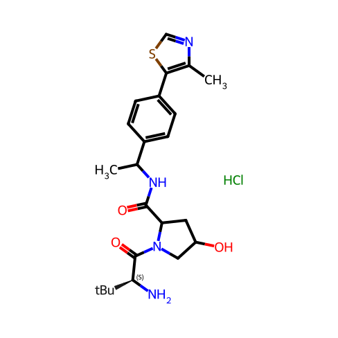 Cc1ncsc1-c1ccc(C(C)NC(=O)C2CC(O)CN2C(=O)[C@@H](N)C(C)(C)C)cc1.Cl